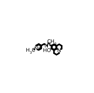 CN(/N=C/c1cc[n+](C)cc1)c1cc2c3c(c1O)CCCN3CCC2